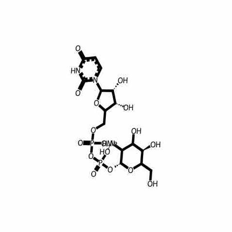 COP(=O)(OCC1OC(n2ccc(=O)[nH]c2=O)[C@H](O)[C@@H]1O)OP(=O)(O)O[C@H]1OC(CO)[C@H](O)C(O)C1N